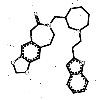 O=C1Cc2cc3c(cc2CCN1CC1CCCCN(CCc2cc4ccccc4o2)C1)OCO3